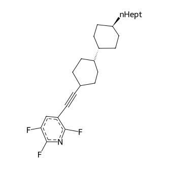 CCCCCCC[C@H]1CC[C@H](C2CCC(C#Cc3cc(F)c(F)nc3F)CC2)CC1